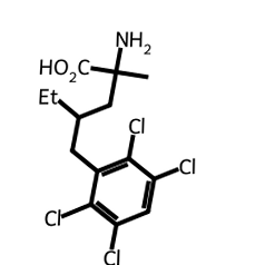 CCC(Cc1c(Cl)c(Cl)cc(Cl)c1Cl)CC(C)(N)C(=O)O